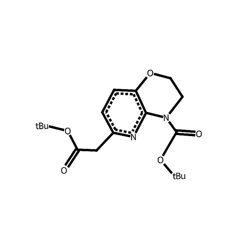 CC(C)(C)OC(=O)Cc1ccc2c(n1)N(C(=O)OC(C)(C)C)CCO2